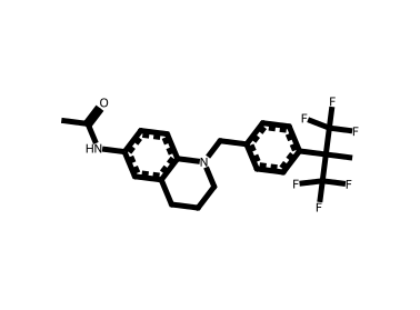 CC(=O)Nc1ccc2c(c1)CCCN2Cc1ccc(C(C)(C(F)(F)F)C(F)(F)F)cc1